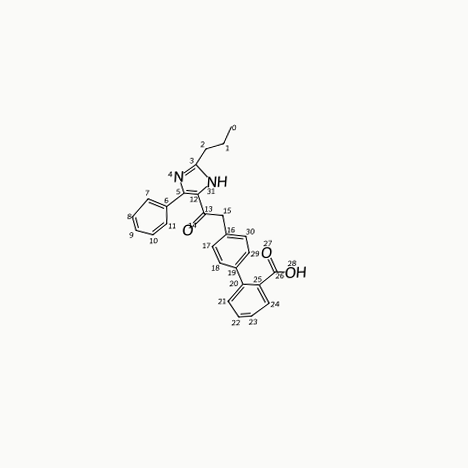 CCCc1nc(-c2ccccc2)c(C(=O)Cc2ccc(-c3ccccc3C(=O)O)cc2)[nH]1